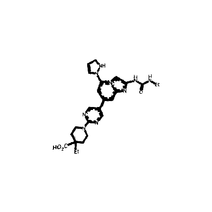 CCNC(=O)Nc1cn2c(N3C=CCN3)cc(-c3cnc(N4CCC(CC)(C(=O)O)CC4)nc3)cc2n1